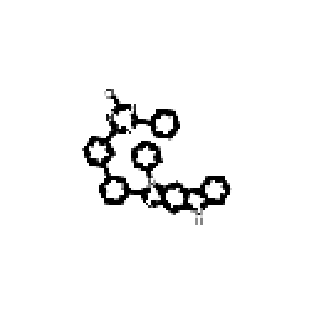 Clc1nc(-c2ccccc2)nc(-c2cccc(-c3cccc(-c4nc5cc6[nH]c7ccccc7c6cc5n4-c4ccccc4)c3)c2)n1